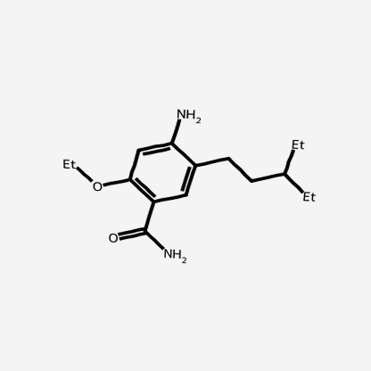 CCOc1cc(N)c(CCC(CC)CC)cc1C(N)=O